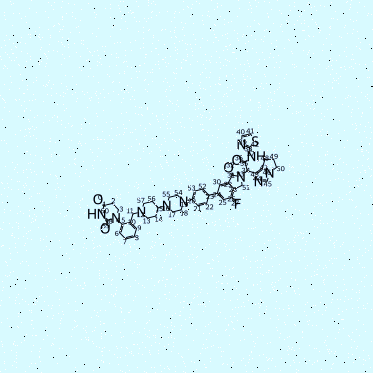 O=C1CCN(c2ccccc2CN2CCC(N3CCN(c4ccc(-c5cc(F)c6c(c5)C(=O)N(C(C(=O)Nc5nccs5)c5ncn7c5CCC7)C6)cc4)CC3)CC2)C(=O)N1